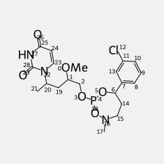 COC(COP1OC(c2cccc(Cl)c2)CCN(C)O1)CC(C)n1ccc(=O)[nH]c1=O